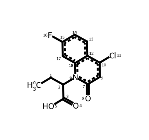 CCC(C(=O)O)n1c(=O)cc(Cl)c2ccc(F)cc21